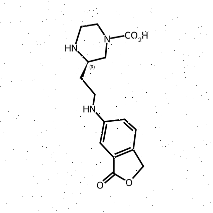 O=C1OCc2ccc(NCC[C@@H]3CN(C(=O)O)CCN3)cc21